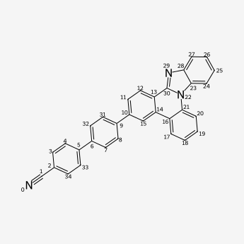 N#Cc1ccc(-c2ccc(-c3ccc4c(c3)c3ccccc3n3c5ccccc5nc43)cc2)cc1